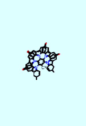 Cc1ccc2c(c1)c1cc(C)ccc1n2-c1c(-n2c3c(c4c2C=CC(C)C4)CC(C)C=C3)c(C#N)c(-n2c3c(c4c2C=CC(C)C4)CC(C)C=C3)c(-n2c3c(c4c2C=CC(C)C4)CC(C)C=C3)c1-n1c2ccc(C)cc2c2cc(C)ccc21